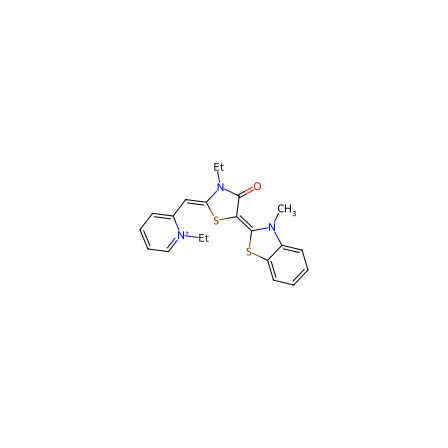 CCn1c(=O)/c(=C2/Sc3ccccc3N2C)s/c1=C\c1cccc[n+]1CC